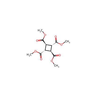 COC(=O)[C@H]1[C@H](C(=O)OC)[C@@H](C(=O)OC)[C@@H]1C(=O)OC